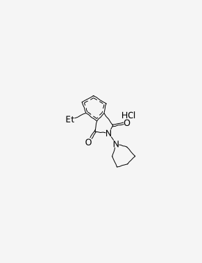 CCc1cccc2c1C(=O)N(N1CCCCC1)C2=O.Cl